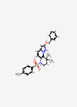 Cc1ccc(S(=O)(=O)N2CCC(C)(C)c3c2ccc2cc(OCc4ccccc4)nn32)cc1